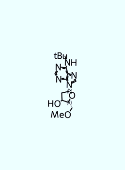 COC[C@H]1O[C@@H](n2cnc3c(NC(C)(C)C)ncnc32)CC1O